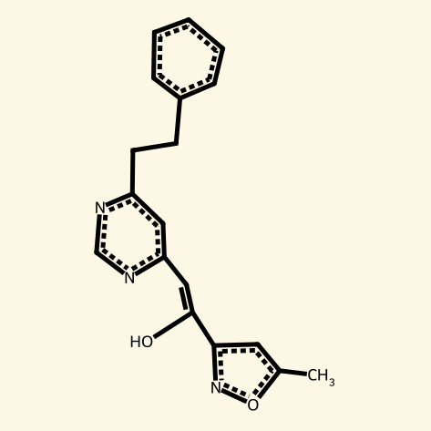 Cc1cc(/C(O)=C/c2cc(CCc3ccccc3)ncn2)no1